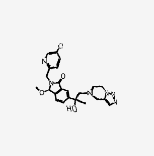 CO[C@@H]1c2ccc(C(C)(O)CN3CCn4nncc4C3)cc2C(=O)N1Cc1ccc(Cl)cn1